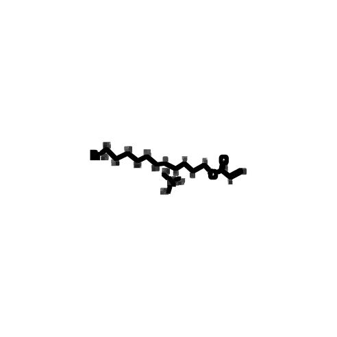 C=CC(=O)OCCCCCCCCCCCBr.CN(C)C